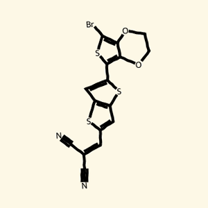 N#CC(C#N)=Cc1cc2sc(-c3sc(Br)c4c3OCCO4)cc2s1